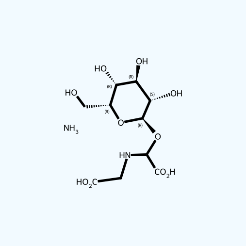 N.O=C(O)CNC(O[C@H]1O[C@H](CO)[C@H](O)[C@@H](O)[C@@H]1O)C(=O)O